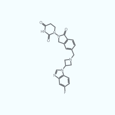 O=C1CCN(N2Cc3cc(CN4CC(n5cnc6cc(F)ccc65)C4)ccc3C2=O)C(=O)N1